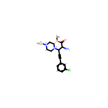 CC(C)(C)OC(=O)C(N)C(C#Cc1cccc(Cl)c1)N1CCN(C(=O)O)CC1